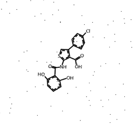 O=C(Nc1scc(-c2ccc(Cl)cc2)c1C(=O)O)c1c(O)cccc1O